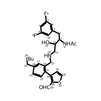 CC(=O)NC(Cc1cc(F)cc(F)c1)C(O)CNCc1cc(CC(C)(C)C)ccc1-c1ccsc1C=O